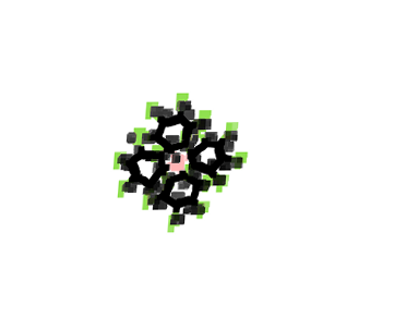 FC1=CC(F)([B-](C2(F)C=C(F)C(F)=C(F)C2F)(C2(F)C=C(F)C(F)=C(F)C2F)C2(F)C=C(F)C(F)=C(F)C2F)C(F)C(F)=C1F